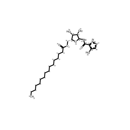 CCCCCCCCCCCCCCCC(=O)OC[C@H]1OC(NC(=O)c2[nH]ncc2O)[C@H](O)[C@@H]1O